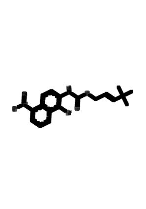 CC(C)(C)C=CCOC(=O)Nc1ccc2c([N+](=O)[O-])cccc2c1Br